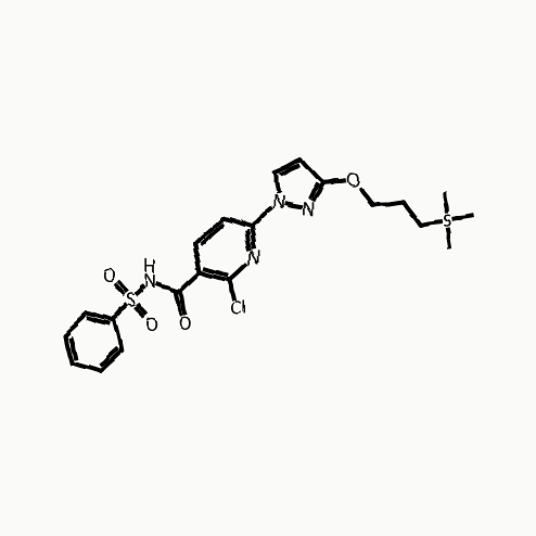 CS(C)(C)CCCOc1ccn(-c2ccc(C(=O)NS(=O)(=O)c3ccccc3)c(Cl)n2)n1